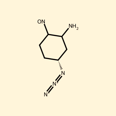 [N-]=[N+]=N[C@@H]1CCC(N=O)C(N)C1